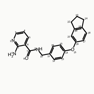 Nc1ncccc1C(=O)NCc1ccc(Oc2ccc3c(c2)CCC3)cc1